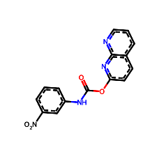 O=C(Nc1cccc([N+](=O)[O-])c1)Oc1ccc2cccnc2n1